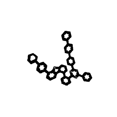 C1=CCCC(c2ccc(-c3cccc4c3oc3cccc(-c5ccccc5-c5nc(-c6ccccc6)nc(-c6ccc(-c7ccc(-c8ccccc8)cc7)cc6)n5)c34)cc2)=C1